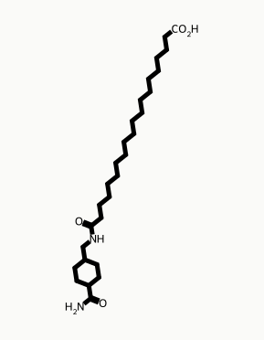 NC(=O)C1CCC(CNC(=O)CCCCCCCCCCCCCCCCCCC(=O)O)CC1